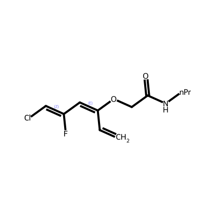 C=C/C(=C\C(F)=C\Cl)OCC(=O)NCCC